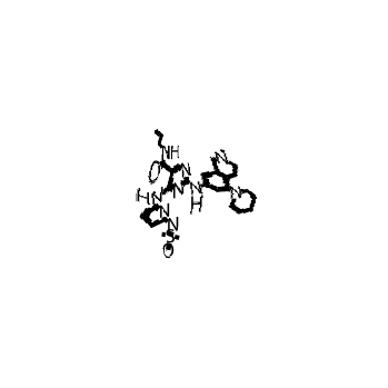 C=CCNC(=O)c1cnc(Nc2cc3c(c(N4CCCCC4)c2)CCN(C)C3)nc1Nc1cccc(N=S(C)(C)=O)n1